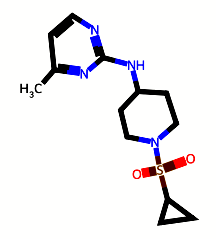 Cc1ccnc(NC2CCN(S(=O)(=O)C3CC3)CC2)n1